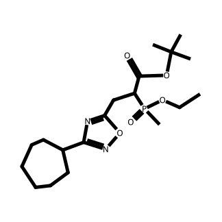 CCOP(C)(=O)C(Cc1nc(C2CCCCCC2)no1)C(=O)OC(C)(C)C